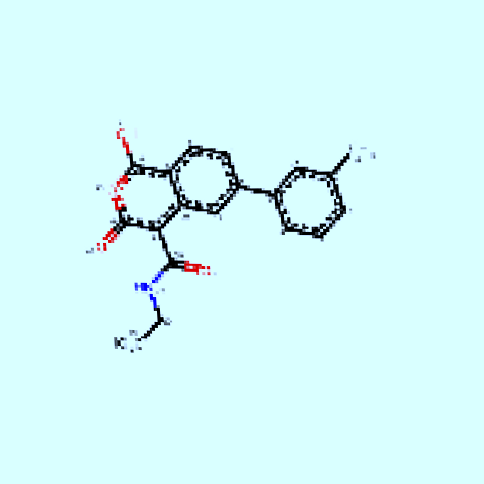 Cc1cccc(-c2ccc3c(O)oc(=O)c(C(=O)NCC(=O)O)c3c2)c1